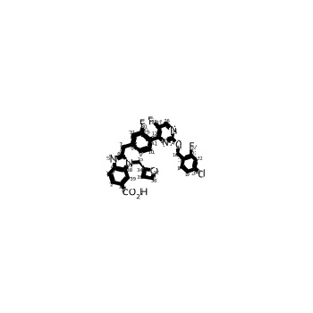 O=C(O)c1ccc2nc(Cc3ccc(-c4nc(OCc5ccc(Cl)cc5F)ncc4F)c(F)c3)n(C[C@@H]3CCO3)c2c1